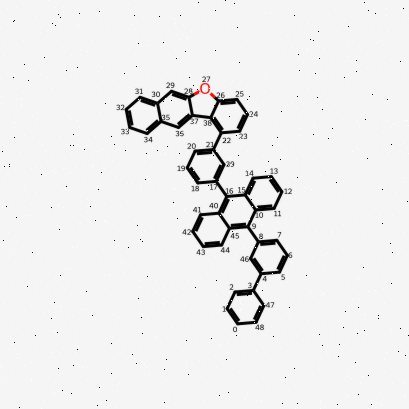 c1ccc(-c2cccc(-c3c4ccccc4c(-c4cccc(-c5cccc6oc7cc8ccccc8cc7c56)c4)c4ccccc34)c2)cc1